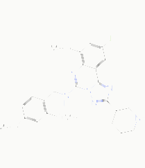 COc1ccc(CNc2nc3c(OC)cc(F)cc3c3nc([C@@H]4CCCNC4)nn23)c(OC)c1